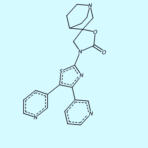 O=C1OC2(CN3CCC2CC3)CN1c1nc(-c2cccnc2)c(-c2cccnc2)s1